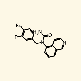 NC(=O)N(Cc1ccc(Br)c(F)c1)c1cccc2cnccc12